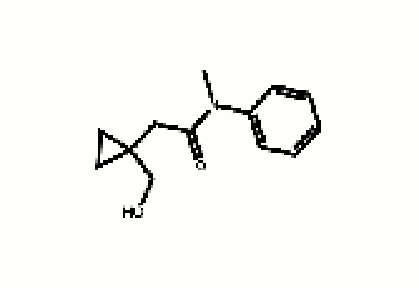 CN(C(=O)CC1(CO)CC1)c1ccccc1